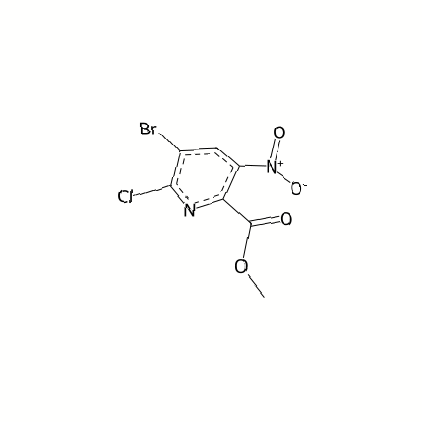 COC(=O)c1nc(Cl)c(Br)cc1[N+](=O)[O-]